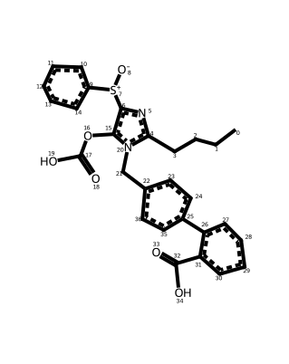 CCCCc1nc([S+]([O-])c2ccccc2)c(OC(=O)O)n1Cc1ccc(-c2ccccc2C(=O)O)cc1